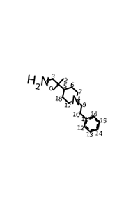 CC(C)(CN)C1CCN(CCc2ccccc2)CC1